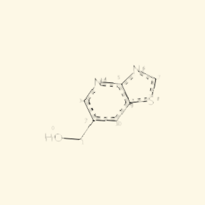 OCc1cnc2ncsc2c1